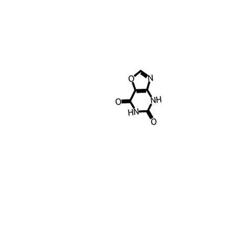 O=c1[nH]c(=O)c2ocnc2[nH]1